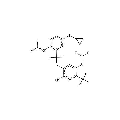 CC(C)(C)c1cc(Cl)c(CC(C)(C)c2cc(SC3CC3)ccc2OC(F)F)cc1OC(F)F